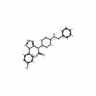 CCC(=O)N(C1=CN=NC1c1ccc(F)cc1)C1CCC(NCc2ccccc2)CC1